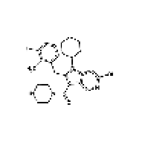 Cc1c(F)cccc1Cc1c(C(=O)N2CCNCC2)c2cnc(O)cc2n1C1CCCCC1